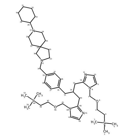 C[Si](C)(C)CCOCn1ccnc1CC(Cc1ccc(CN2CCC3(CCN(C4CCCCC4)CC3)C2)cc1)Cc1nccn1COCC[Si](C)(C)C